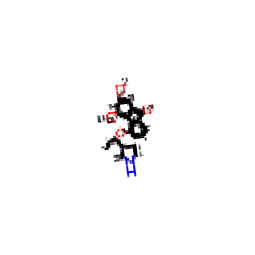 CCC(Oc1cccc2c1-c1c(OC)cc(OC)cc1C2=O)C1CCNC1